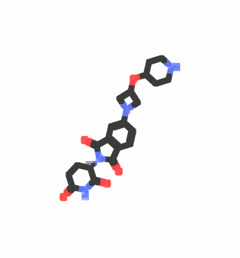 O=C1CC[C@H](N2C(=O)c3ccc(N4CC(OC5CCNCC5)C4)cc3C2=O)C(=O)N1